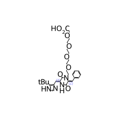 CC(C)(C)c1[nH]cnc1/C=c1\[nH]c(=O)/c(=C/c2ccccc2)n(CCOCCOCCOCCOCC(=O)O)c1=O